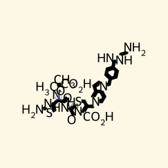 CC(C)(O/N=C(\C(=O)N[C@@H]1C(=O)N2C(C(=O)O)=C(C[n+]3ccc4c(ccn4Cc4ccc(C(=N)NCCN)cc4)c3)CS[C@H]12)c1csc(N)n1)C(=O)O